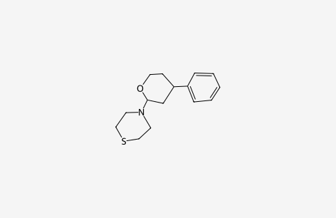 c1ccc(C2CCOC(N3CCSCC3)C2)cc1